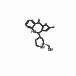 Cc1cc2c(s1)Nc1ccccc1NC2N1CCN[C@@H](CO)C1